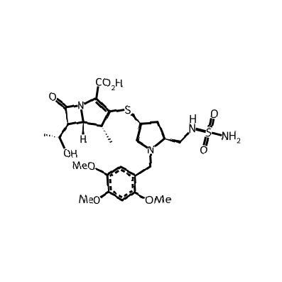 COc1cc(OC)c(OC)cc1CN1C[C@@H](SC2=C(C(=O)O)N3C(=O)[C@H]([C@@H](C)O)[C@H]3[C@H]2C)C[C@H]1CNS(N)(=O)=O